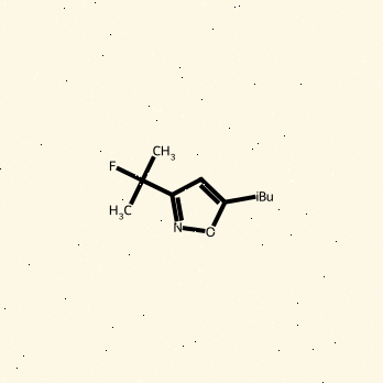 CCC(C)c1cc(C(C)(C)F)no1